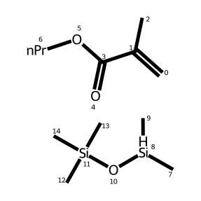 C=C(C)C(=O)OCCC.C[SiH](C)O[Si](C)(C)C